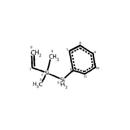 C=C[Si](C)(C)[SiH2]c1ccccc1